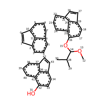 C1=Cc2cccc3cccc1c23.COC(Oc1ccc2c3c(cccc13)C=C2)C(C)C.Oc1ccc2c3c(cccc13)C=C2